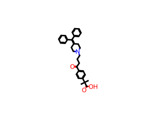 CC(C)(C(=O)O)c1ccc(C(=O)CCCN2CCC(=C(c3ccccc3)c3ccccc3)CC2)cc1